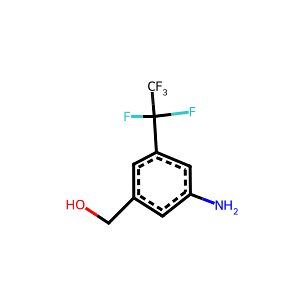 Nc1cc(CO)cc(C(F)(F)C(F)(F)F)c1